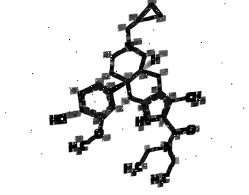 CCN(CC)C(=O)c1[nH]c2c(c1C)C[C@@H]1CN(CC3CC3)CC[C@@]1(c1cccc(OC)c1)C2.Cl